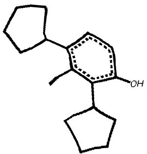 Cc1c(C2CCCC2)ccc(O)c1C1CCCC1